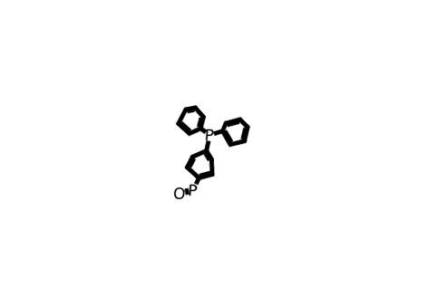 O=Pc1ccc(P(c2ccccc2)c2ccccc2)cc1